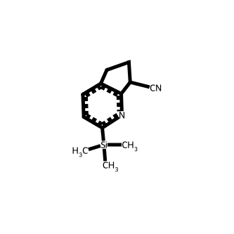 C[Si](C)(C)c1ccc2c(n1)C(C#N)CC2